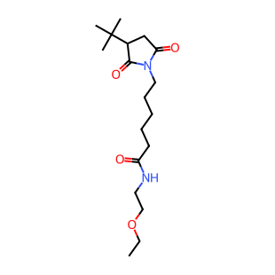 CCOCCNC(=O)CCCCCN1C(=O)CC(C(C)(C)C)C1=O